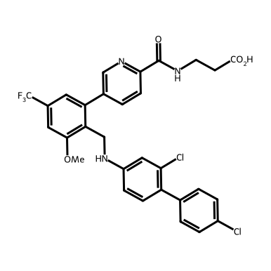 COc1cc(C(F)(F)F)cc(-c2ccc(C(=O)NCCC(=O)O)nc2)c1CNc1ccc(-c2ccc(Cl)cc2)c(Cl)c1